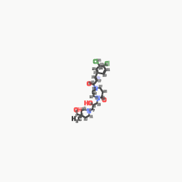 CC1(CO)CCN(CC(O)CN2CCN(C(=O)/C=C/c3ccc(Cl)c(Cl)c3)CCC2=O)CC1